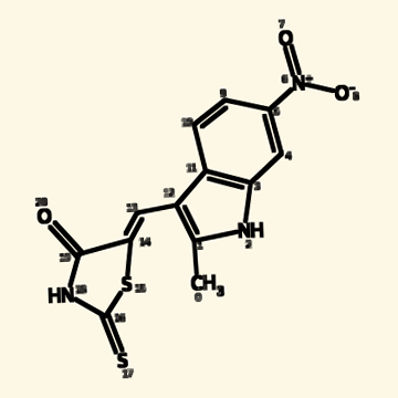 Cc1[nH]c2cc([N+](=O)[O-])ccc2c1/C=C1\SC(=S)NC1=O